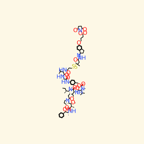 CC[C@H](C)[C@@H](CCC(=O)N1CCC[C@H]1[C@H](OC)[C@@H](C)C(=O)N[C@H](C)[C@@H](O)c1ccccc1)N(C)C(=O)[C@@H](NC(=O)[C@H](C(C)C)N(C)C(=O)OCc1ccc(NC(=O)[C@H](C)NC(=O)[C@@H](NC(=O)CCSSC(C)(C)CC(=O)N/N=C2\CCc3cc(OCCCC(=O)ON4C(=O)CCC4=O)ccc32)C(C)C)cc1)C(C)C